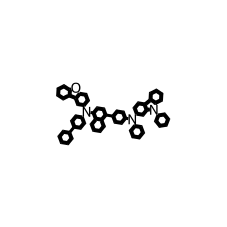 c1ccc(-c2ccc(N(c3ccc4oc5ccccc5c4c3)c3ccc(-c4ccc(N(c5ccccc5)c5ccc6c7ccccc7n(-c7ccccc7)c6c5)cc4)c4ccccc34)cc2)cc1